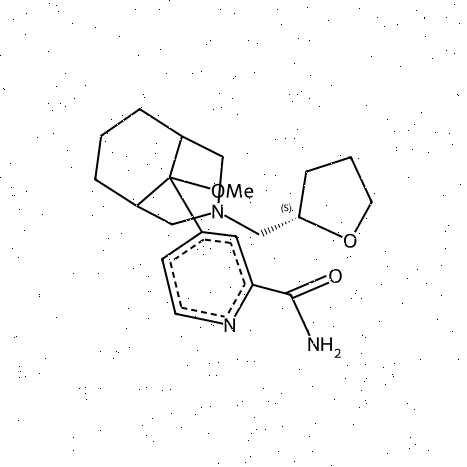 COC1(c2ccnc(C(N)=O)c2)C2CCCC1CN(C[C@@H]1CCCO1)C2